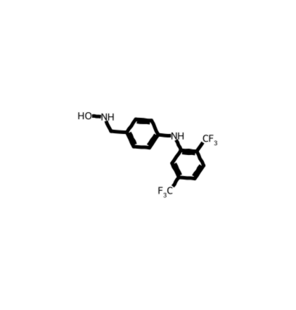 ONCc1ccc(Nc2cc(C(F)(F)F)ccc2C(F)(F)F)cc1